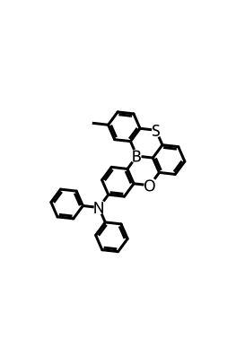 Cc1ccc2c(c1)B1c3ccc(N(c4ccccc4)c4ccccc4)cc3Oc3cccc(c31)S2